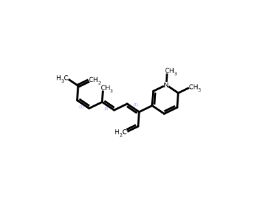 C=C\C(=C/C=C(C)/C=C\C(=C)C)C1=CN(C)C(C)C=C1